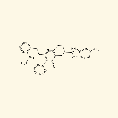 NC(=O)c1ccccc1CSc1nc2c(c(=O)n1-c1ccccc1)CN(c1nc3ccc(C(F)(F)F)cc3[nH]1)CC2